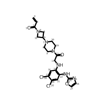 C=CC(=O)N1CC(N2CCN(C(=O)CNc3cc(Cl)c(Cl)cc3Nc3ncco3)CC2)C1